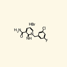 Br.N=c1c(C(N)=O)cccn1Cc1cc(F)cc(Cl)c1